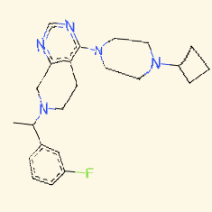 CC(c1cccc(F)c1)N1CCc2c(ncnc2N2CCN(C3CCC3)CC2)C1